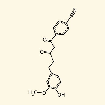 COc1cc(CCC(=O)CC(=O)c2ccc(C#N)cc2)ccc1O